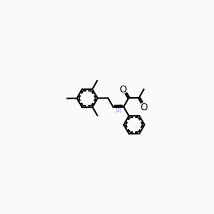 CC(=O)C(=O)/C(=C\Cc1c(C)cc(C)cc1C)c1ccccc1